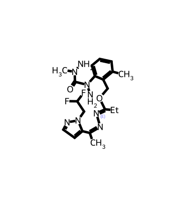 CC/C(=N\N=C(C)c1ccnn1CC(F)F)OCc1c(C)cccc1N(N)C(=O)N(C)N